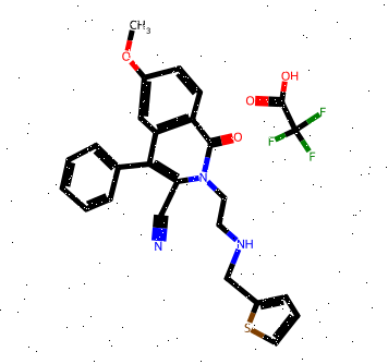 COc1ccc2c(=O)n(CCNCc3cccs3)c(C#N)c(-c3ccccc3)c2c1.O=C(O)C(F)(F)F